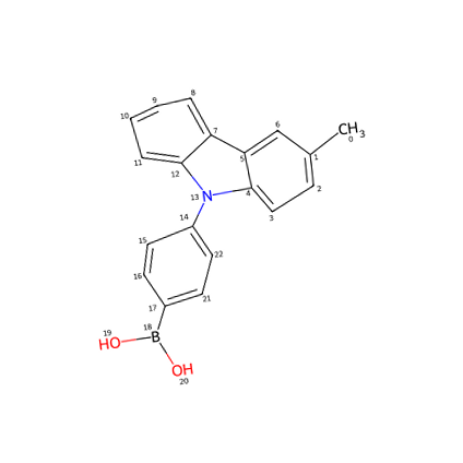 Cc1ccc2c(c1)c1ccccc1n2-c1ccc(B(O)O)cc1